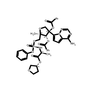 CC(C)C(=O)O[C@@H]1[C@@](C)(CO[P@](=O)(N[C@@H](C)C(=O)O[C@@H]2CCOC2)Oc2ccccc2)OC[C@]1(OC(=O)C(C)C)c1ccc2c(N)ncnn12